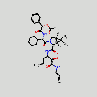 C=CCNC(=O)C(=O)C(CCC)NC(=O)[C@@H]1[C@@H]2[C@H](CN1C(=O)[C@@H](NC(=O)[C@@H](OC(C)=O)c1ccccc1)C1CCCCC1)C2(C)C